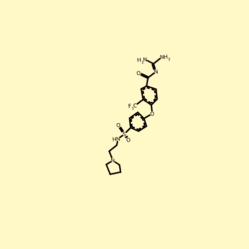 NC(N)=NC(=O)c1ccc(Oc2ccc(S(=O)(=O)NCCN3CCCC3)cc2)c(C(F)(F)F)c1